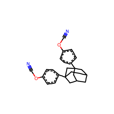 N#COc1ccc(C23CC4CC(C2)CC(c2ccc(OC#N)cc2)(C4)C3)cc1